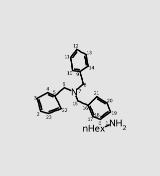 CCCCCCN.c1ccc(CN(Cc2ccccc2)Cc2ccccc2)cc1